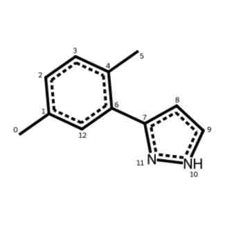 Cc1ccc(C)c(-c2cc[nH]n2)c1